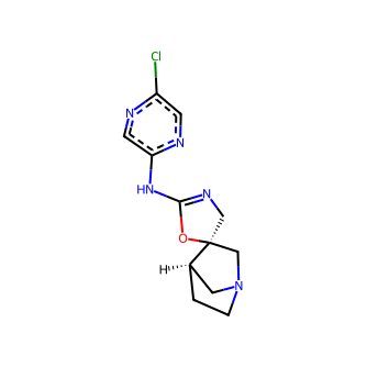 Clc1cnc(NC2=NC[C@@]3(CN4CC[C@@H]3C4)O2)cn1